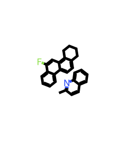 Cc1ccc2ccccc2n1.Fc1cc2c3c(ccc2c2ccccc12)CCCC3